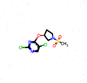 CS(=O)(=O)N1CC[C@H](Oc2nc(Cl)ncc2Cl)C1